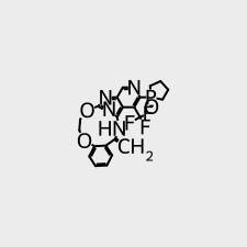 C=C1Nc2nc(nc3cnc(P4(=O)CCCC4)c(C(F)(F)F)c23)OCCOc2ccccc21